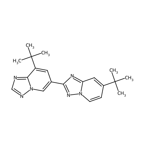 CC(C)(C)c1ccn2nc(-c3cc(C(C)(C)C)c4ncnn4c3)nc2c1